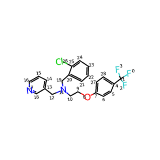 FC(F)(F)c1ccc(OCCN(Cc2cccnc2)Cc2ccccc2Cl)cc1